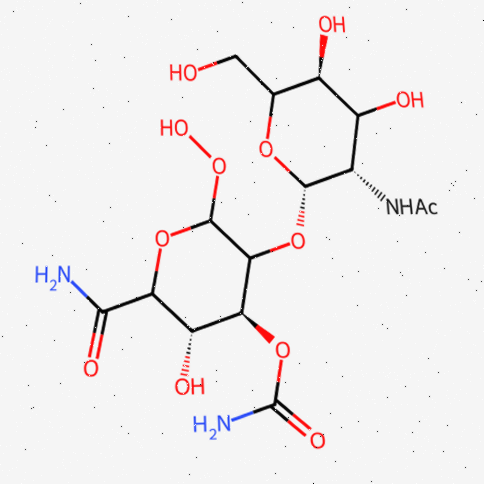 CC(=O)N[C@H]1C(O)[C@H](O)C(CO)O[C@H]1OC1C(OO)OC(C(N)=O)[C@@H](O)[C@@H]1OC(N)=O